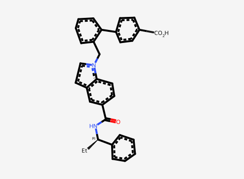 CC[C@@H](NC(=O)c1ccc2c(ccn2Cc2ccccc2-c2ccc(C(=O)O)cc2)c1)c1ccccc1